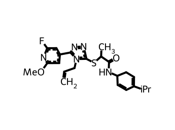 C=CCn1c(SC(C)C(=O)NC2C=CC(C(C)C)=CC2)nnc1-c1cc(F)nc(OC)c1